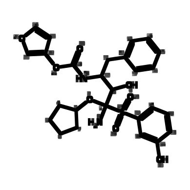 NC(OC1CCCC1)(C(O)C(Cc1ccccc1)NC(=O)Oc1ccoc1)S(=O)(=O)c1cccc(O)c1